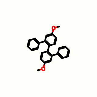 COc1ccc(-c2ccc(OC)cc2-c2ccccc2)c(-c2ccccc2)c1